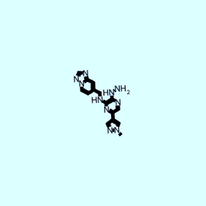 Cn1cc(-c2cnc(NN)c(NCc3ccn4ncnc4c3)n2)cn1